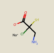 NCC(S)(Cl)C(=O)[O-].[Na+]